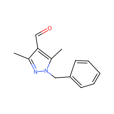 Cc1nn(Cc2ccccc2)c(C)c1C=O